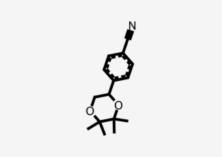 CC1(C)OCC(c2ccc(C#N)cc2)OC1(C)C